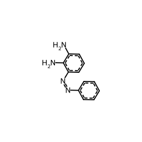 Nc1cccc(/N=N\c2ccccc2)c1N